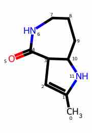 CC1=CC2C(=O)NCCCC2N1